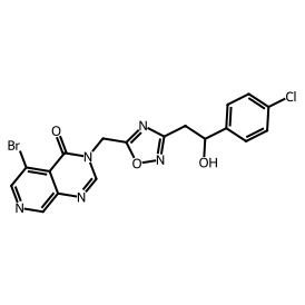 O=c1c2c(Br)cncc2ncn1Cc1nc(CC(O)c2ccc(Cl)cc2)no1